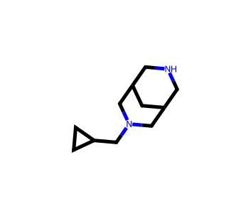 C1CC1CN1CC2CNCC(C2)C1